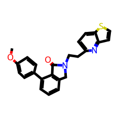 COc1ccc(-c2cccc3c2C(=O)N(CCc2ccc4sccc4n2)C3)cc1